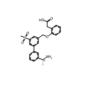 C[C@@H](N)c1cccc(-c2cc(COc3ccccc3CC(=O)O)cc(S(C)(=O)=O)c2)c1